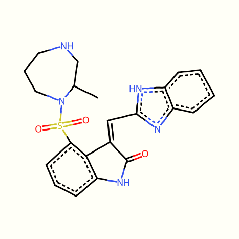 CC1CNCCCN1S(=O)(=O)c1cccc2c1/C(=C/c1nc3ccccc3[nH]1)C(=O)N2